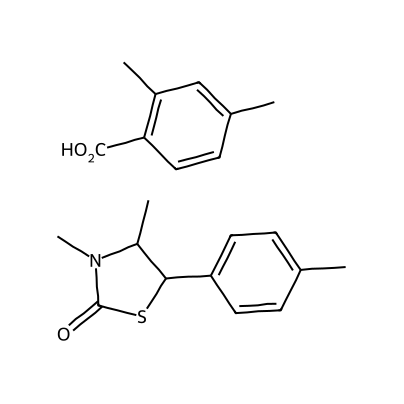 Cc1ccc(C(=O)O)c(C)c1.Cc1ccc(C2SC(=O)N(C)C2C)cc1